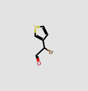 O=CC(Br)c1ccsc1